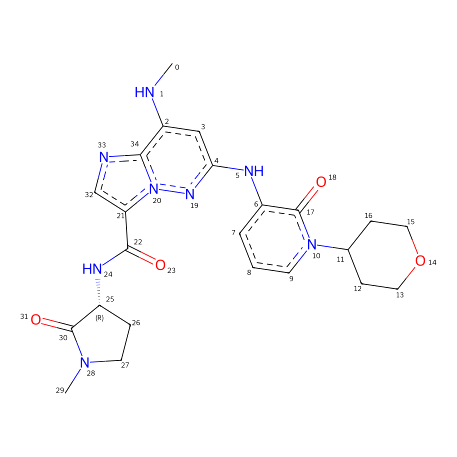 CNc1cc(Nc2cccn(C3CCOCC3)c2=O)nn2c(C(=O)N[C@@H]3CCN(C)C3=O)cnc12